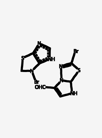 BrN1CSc2nc[nH]c21.O=CC1=CNC2SC(Br)=NN12